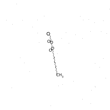 CCCCCC=CCC=CCC=CCCCCC(=O)OCCCOC(=O)CCCc1ccccc1